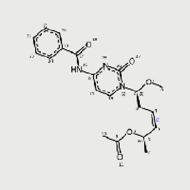 CO[C@@H](C/C=C\[C@@H](C)OC(C)=O)n1ccc(NC(=O)c2ccccc2)nc1=O